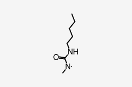 CCCCCNC(=O)[N]C